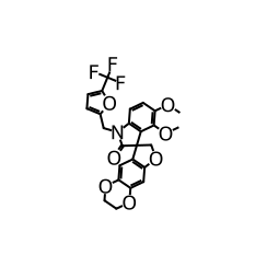 COc1ccc2c(c1OC)C1(COc3cc4c(cc31)OCCO4)C(=O)N2Cc1ccc(C(F)(F)F)o1